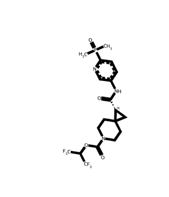 CP(C)(=O)c1ccc(NC(=O)[C@@H]2CC23CCN(C(=O)OC(C(F)(F)F)C(F)(F)F)CC3)cn1